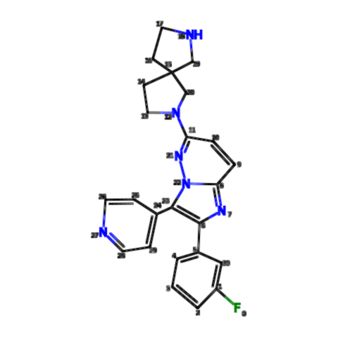 Fc1cccc(-c2nc3ccc(N4CCC5(CCNC5)C4)nn3c2-c2ccncc2)c1